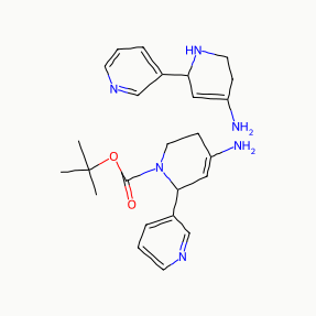 CC(C)(C)OC(=O)N1CCC(N)=CC1c1cccnc1.NC1=CC(c2cccnc2)NCC1